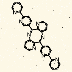 c1ccc(-c2ccc(/C3=N/c4cccnc4/C(c4ccc(-c5ccccn5)nc4)=N\c4cccnc43)cn2)nc1